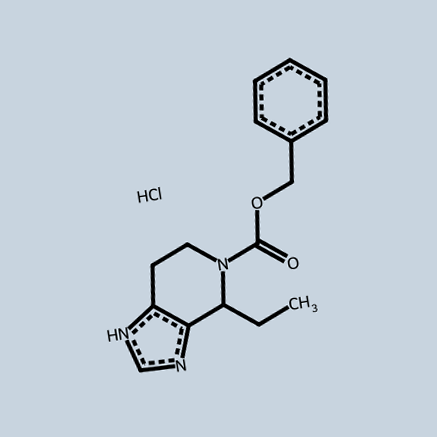 CCC1c2nc[nH]c2CCN1C(=O)OCc1ccccc1.Cl